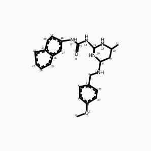 COc1ccc(CNC2CC(C)NC(NC(=O)Nc3ccc4ccccc4c3)N2)cc1